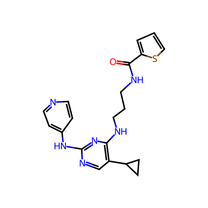 O=C(NCCCNc1nc(Nc2ccncc2)ncc1C1CC1)c1cccs1